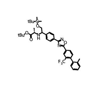 Cc1ccccc1-c1ccc(-c2nc(-c3ccc(C(CO[Si](C)(C)C(C)(C)C)N[C@H](C)C(=O)OC(C)(C)C)cc3)no2)cc1C(F)(F)F